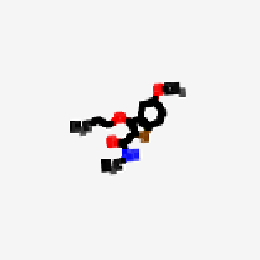 CCCOc1c(C(=O)NC)sc2ccc(OC)cc12